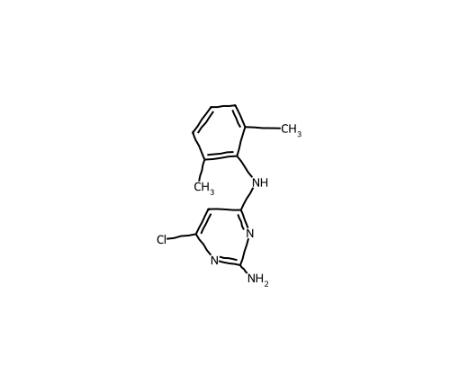 Cc1cccc(C)c1Nc1cc(Cl)nc(N)n1